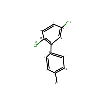 Cc1ccc(-c2cc(Cl)[c]cc2Cl)cc1